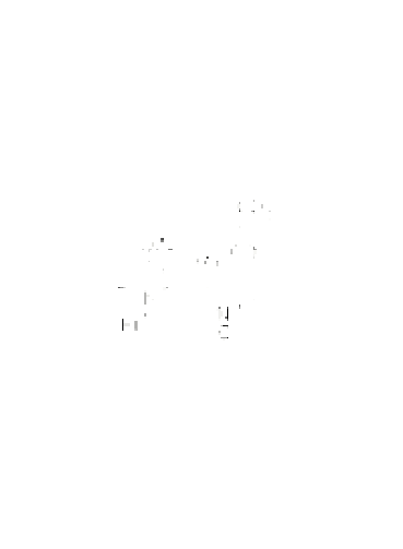 CCON1C(C)(C)CC(OC(C)=O)CC1(C)C.CCON1C(C)(C)CC(OC(C)=O)CC1(C)C.O=C(O)C=CC(=O)O